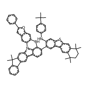 CC(C)(C)c1ccc(Nc2cc3sc4cc5c(cc4c3cc2-c2ccc3c4cc6c(cc4n4c3c2Bc2cc3oc(-c7ccccc7)cc3cc2-4)C(C)(C)c2ccccc2-6)C(C)(C)CCC5(C)C)cc1